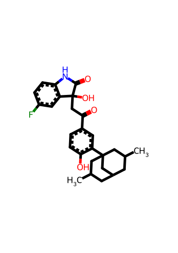 CC1CC2CC(C)CC(c3cc(C(=O)CC4(O)C(=O)Nc5ccc(F)cc54)ccc3O)(C1)C2